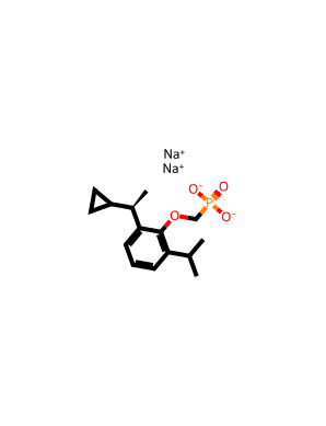 CC(C)c1cccc([C@H](C)C2CC2)c1OCP(=O)([O-])[O-].[Na+].[Na+]